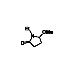 CCN1C(=O)CCC1OC